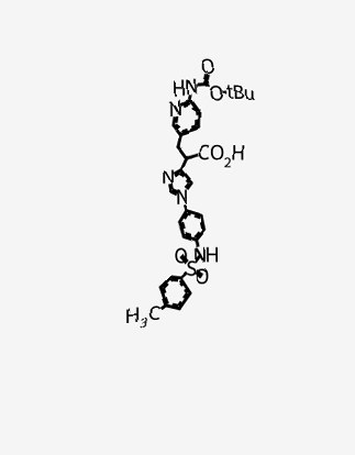 Cc1ccc(S(=O)(=O)Nc2ccc(-n3cnc(C(Cc4ccc(NC(=O)OC(C)(C)C)nc4)C(=O)O)c3)cc2)cc1